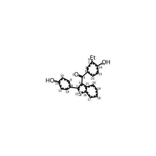 CCc1cc(C(=O)c2c(-c3ccc(O)cc3)sc3ccccc23)ccc1O